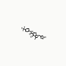 Cc1cn(Cc2c[nH]nn2)c2ncc(C(=O)Nc3ccc(C(F)(F)F)cc3)c(Cl)c12